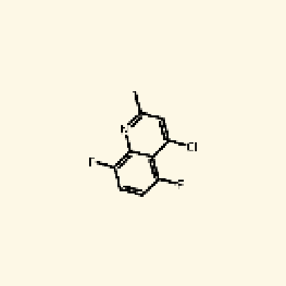 Cc1cc(Cl)c2c(F)ccc(F)c2n1